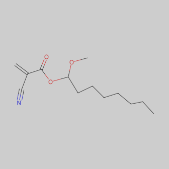 C=C(C#N)C(=O)OC(CCCCCCC)OC